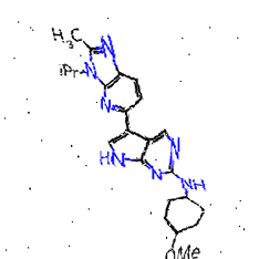 CO[C@H]1CC[C@@H](Nc2ncc3c(-c4ccc5nc(C)n(C(C)C)c5n4)c[nH]c3n2)CC1